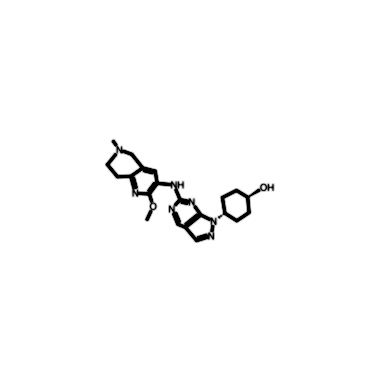 COc1nc2c(cc1Nc1ncc3cnn([C@H]4CC[C@H](O)CC4)c3n1)CN(C)CC2